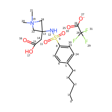 CCCCCc1ccc(S(=O)(=O)NC2(CC(=O)O)C[N+](C)(C)C2)cc1.O=C([O-])C(F)(F)F